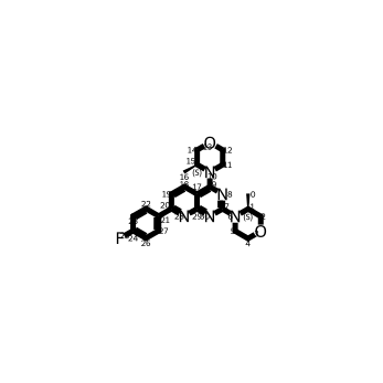 C[C@H]1COCCN1c1nc(N2CCOC[C@@H]2C)c2ccc(-c3ccc(F)cc3)nc2n1